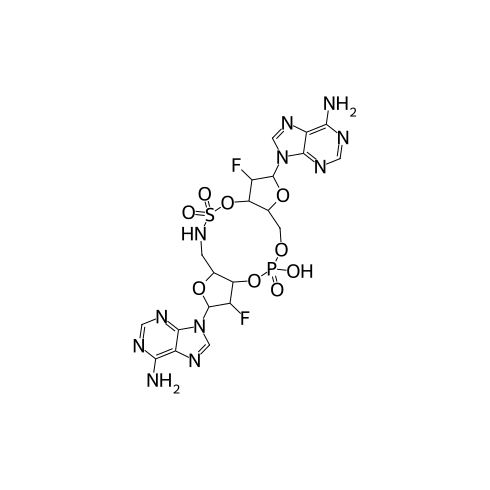 Nc1ncnc2c1ncn2C1OC2CNS(=O)(=O)OC3C(COP(=O)(O)OC2C1F)OC(n1cnc2c(N)ncnc21)C3F